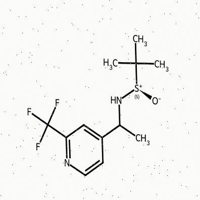 CC(N[S@+]([O-])C(C)(C)C)c1ccnc(C(F)(F)F)c1